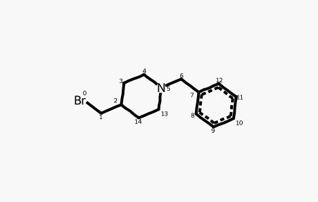 BrCC1CCN(Cc2ccccc2)CC1